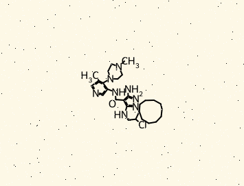 Cc1cncc(NC(=O)c2c(N)nn3c2NCC(Cl)C32CCCCCCCCC2)c1N1CCN(C)CC1